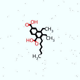 CCCCCCc1c(CC)c(CC)c2cc(C(=O)O)ccc2c1C(=O)O